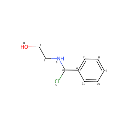 OCCNC(Cl)c1ccccc1